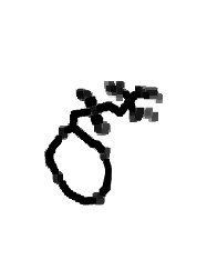 CC(C)(N)CCS(=O)(=O)CC1COCCOCCOCCO1